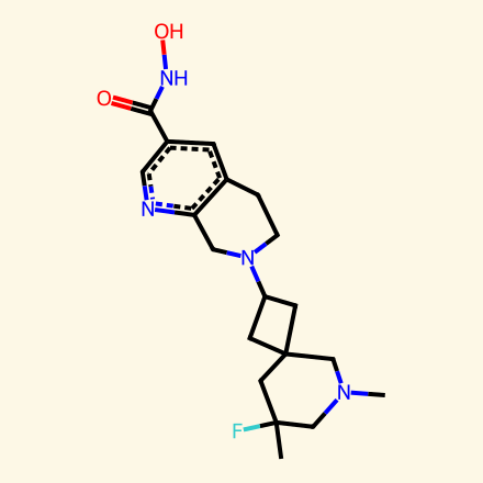 CN1CC(C)(F)CC2(CC(N3CCc4cc(C(=O)NO)cnc4C3)C2)C1